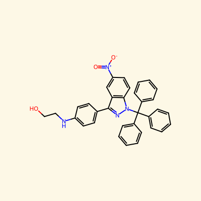 O=[N+]([O-])c1ccc2c(c1)c(-c1ccc(NCCO)cc1)nn2C(c1ccccc1)(c1ccccc1)c1ccccc1